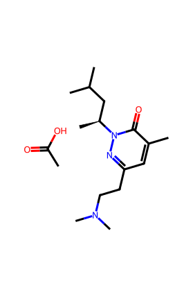 CC(=O)O.Cc1cc(CCN(C)C)nn([C@@H](C)CC(C)C)c1=O